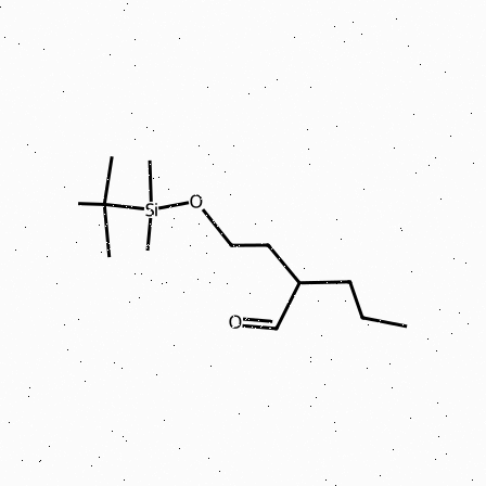 CCCC(C=O)CCO[Si](C)(C)C(C)(C)C